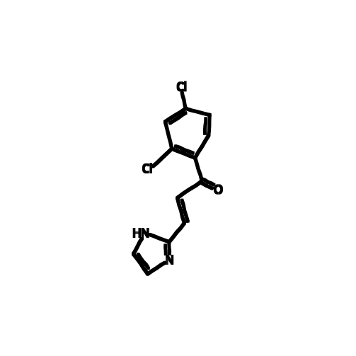 O=C(/C=C/c1ncc[nH]1)c1ccc(Cl)cc1Cl